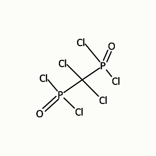 O=P(Cl)(Cl)C(Cl)(Cl)P(=O)(Cl)Cl